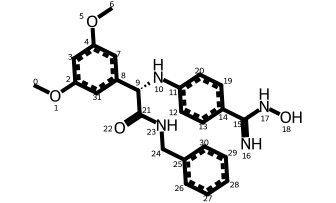 COc1cc(OC)cc([C@H](Nc2ccc(C(=N)NO)cc2)C(=O)NCc2ccccc2)c1